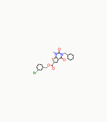 Cn1c(=O)n(Cc2ccccc2)c(=O)c2cc(C(=O)OCc3cccc(Br)c3)sc21